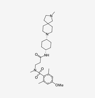 COc1cc(C)c(S(=O)(=O)N(C)CCC(=O)N[C@H]2CC[C@@H](N3CCC4(CCN(C)C4)CC3)CC2)c(C)c1